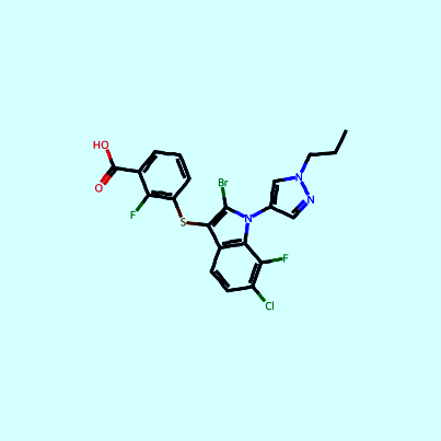 CCCn1cc(-n2c(Br)c(Sc3cccc(C(=O)O)c3F)c3ccc(Cl)c(F)c32)cn1